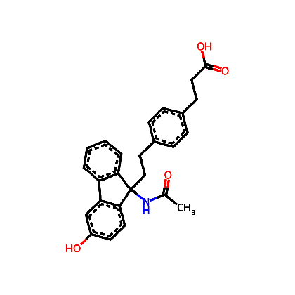 CC(=O)NC1(CCc2ccc(CCC(=O)O)cc2)c2ccccc2-c2cc(O)ccc21